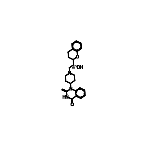 C=C1NC(=O)c2ccccc2N1C1CCN(C[C@@H](O)C2CCc3ccccc3O2)CC1